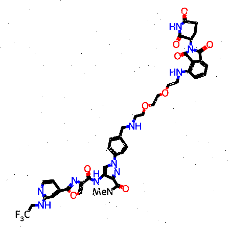 CNC(=O)c1nn(-c2ccc(CNCCOCCOCCNc3cccc4c3C(=O)N(C3CCC(=O)NC3=O)C4=O)cc2)cc1NC(=O)c1coc(-c2ccnc(NCC(F)(F)F)c2)n1